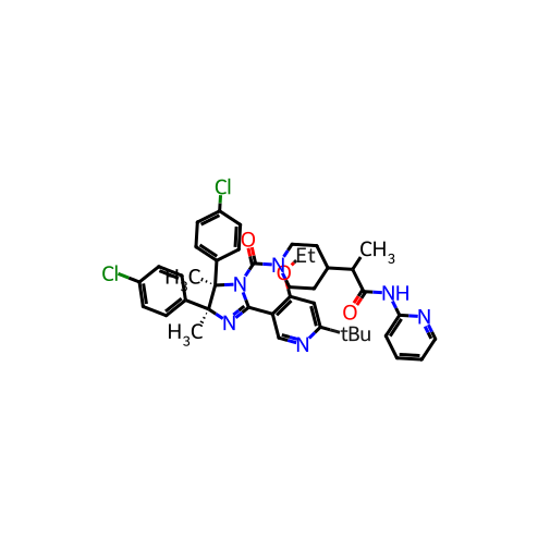 CCOc1cc(C(C)(C)C)ncc1C1=N[C@@](C)(c2ccc(Cl)cc2)[C@@](C)(c2ccc(Cl)cc2)N1C(=O)N1CCC(C(C)C(=O)Nc2ccccn2)CC1